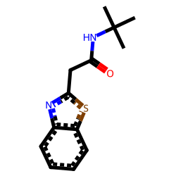 CC(C)(C)NC(=O)Cc1nc2ccccc2s1